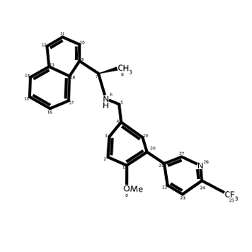 COc1ccc(CN[C@H](C)c2cccc3ccccc23)cc1-c1ccc(C(F)(F)F)nc1